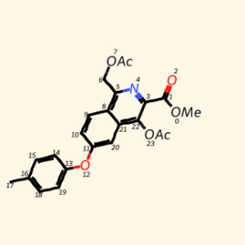 COC(=O)c1nc(COC(C)=O)c2ccc(Oc3ccc(C)cc3)cc2c1OC(C)=O